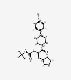 CC(C)(C)OC(=O)CC(CC1CCCC1)C(=O)N1CCN(c2ccc(F)cc2)CC1